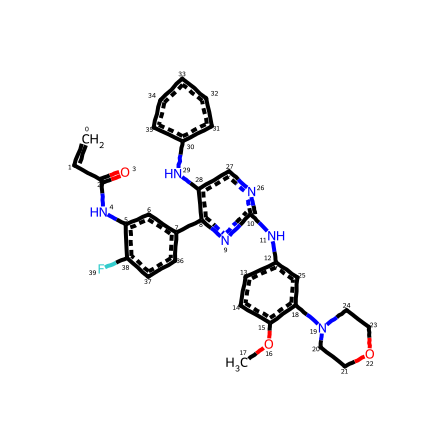 C=CC(=O)Nc1cc(-c2nc(Nc3ccc(OC)c(N4CCOCC4)c3)ncc2Nc2ccccc2)ccc1F